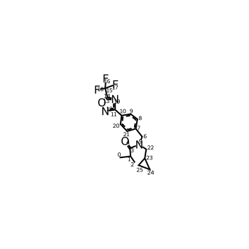 CC(C)C(=O)N(Cc1ccc(-c2noc(C(F)(F)F)n2)cc1)CC1CC1